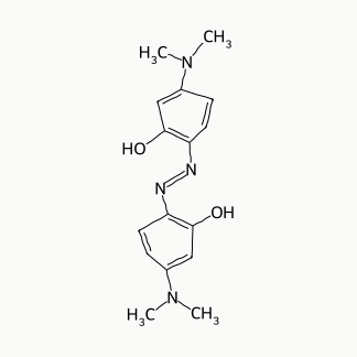 CN(C)c1ccc(N=Nc2ccc(N(C)C)cc2O)c(O)c1